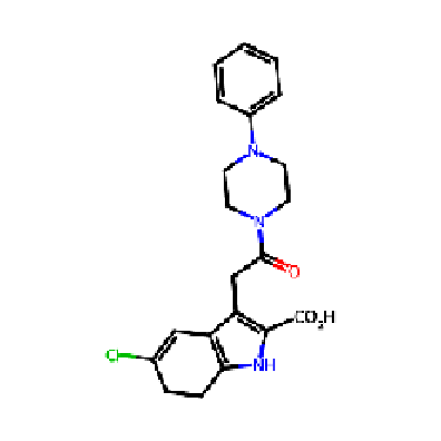 O=C(O)c1[nH]c2c(c1CC(=O)N1CCN(c3ccccc3)CC1)C=C(Cl)CC2